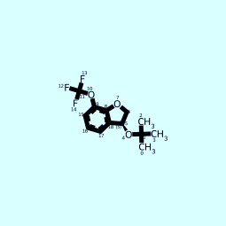 CC(C)(C)O[C@@H]1COc2c(OC(F)(F)F)cccc21